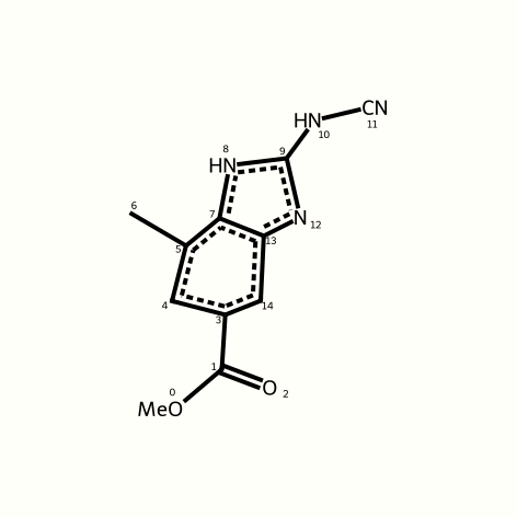 COC(=O)c1cc(C)c2[nH]c(NC#N)nc2c1